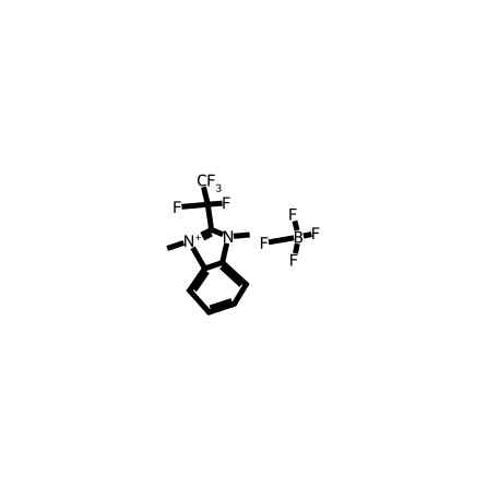 Cn1c(C(F)(F)C(F)(F)F)[n+](C)c2ccccc21.F[B-](F)(F)F